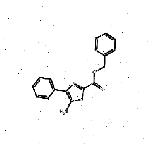 Nc1sc(C(=O)OCc2ccccc2)nc1-c1ccccc1